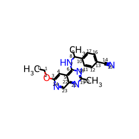 CCOc1cc2c(NC(C)c3ccc(C#N)cc3)nc(C)nc2cn1